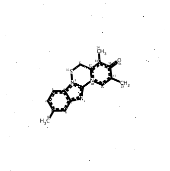 Cc1ccc2c(c1)nc1n2SCc2c(C)c(=O)c(C)cn2-1